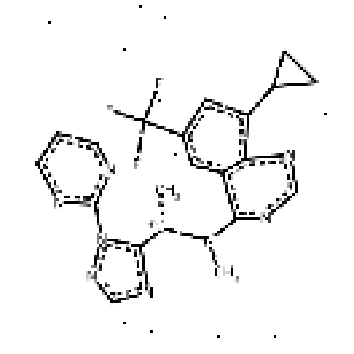 C[C@@H](c1ncnn1-c1ncccn1)N(C)c1ncnc2c(C3CC3)cc(C(F)(F)F)cc12